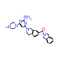 CN1CCN(c2cc(N3CCc4ccc(C(=O)N5Cc6ccccc6C5)cc4C3)nc(N)n2)CC1